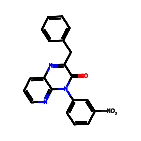 O=c1c(Cc2ccccc2)nc2cccnc2n1-c1cccc([N+](=O)[O-])c1